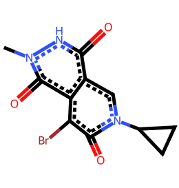 Cn1[nH]c(=O)c2cn(C3CC3)c(=O)c(Br)c2c1=O